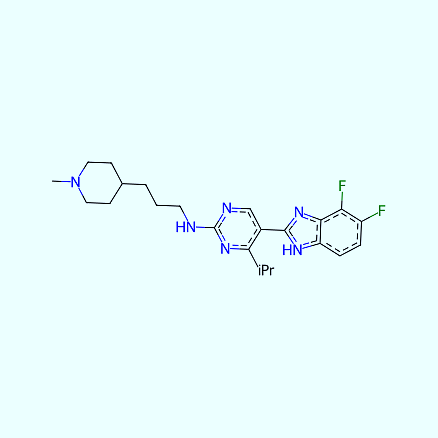 CC(C)c1nc(NCCCC2CCN(C)CC2)ncc1-c1nc2c(F)c(F)ccc2[nH]1